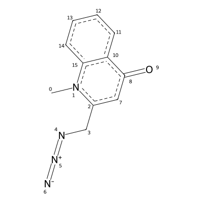 Cn1c(CN=[N+]=[N-])cc(=O)c2ccccc21